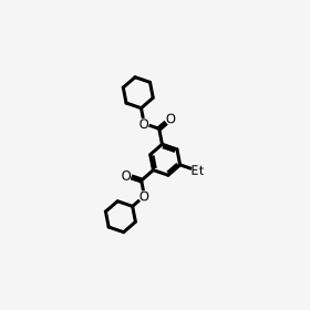 CCc1cc(C(=O)OC2CCCCC2)cc(C(=O)OC2CCCCC2)c1